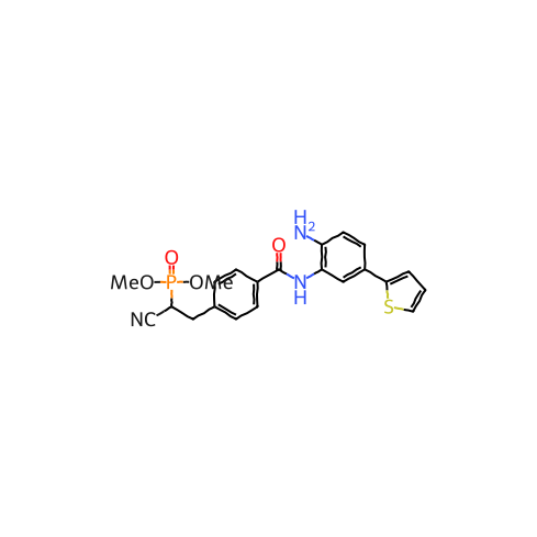 COP(=O)(OC)C(C#N)Cc1ccc(C(=O)Nc2cc(-c3cccs3)ccc2N)cc1